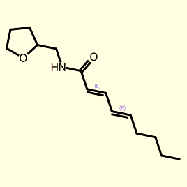 CCCC/C=C/C=C/C(=O)NCC1CCCO1